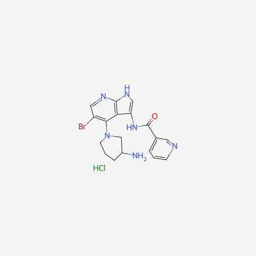 Cl.NC1CCCN(c2c(Br)cnc3[nH]cc(NC(=O)c4cccnc4)c23)C1